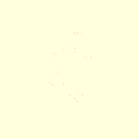 COc1cc(OC)cc(C(=O)c2ccc3ncc(-c4cnn(C)c4)cc3c2)c1